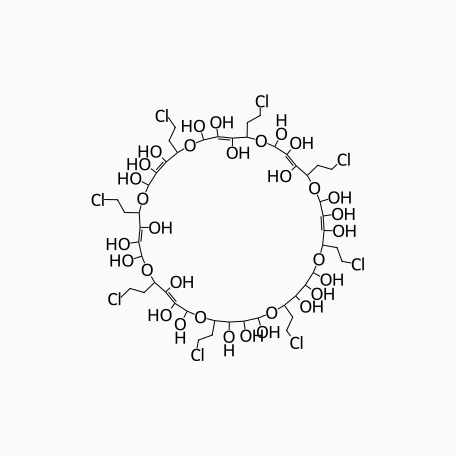 O/C1=C(\O)C(CCCl)OC(O)/C(O)=C(\O)C(CCCl)OC(O)/C(O)=C(\O)C(CCCl)OC(O)/C(O)=C(/O)C(CCCl)OC(O)C(O)C(O)C(CCCl)OC(O)C(O)C(O)C(CCCl)OC(O)/C(O)=C(\O)C(CCCl)OC(O)/C(O)=C(\O)C(CCCl)OC1O